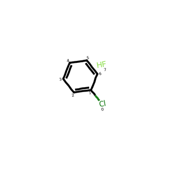 Clc1ccccc1.F